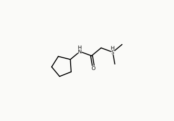 C[SH](C)CC(=O)NC1CCCC1